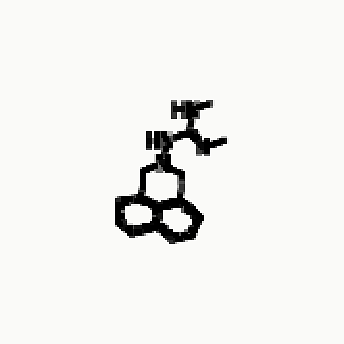 CN=C(NC)NN1Cc2cccc3cccc(c23)C1